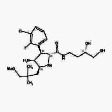 COCC(C)(C)C[C@@H]1N[C@@H](C(=O)NCC[C@H](O)CO)[C@H](c2cccc(Cl)c2F)C1N